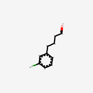 O=CCCCc1cccc(F)c1